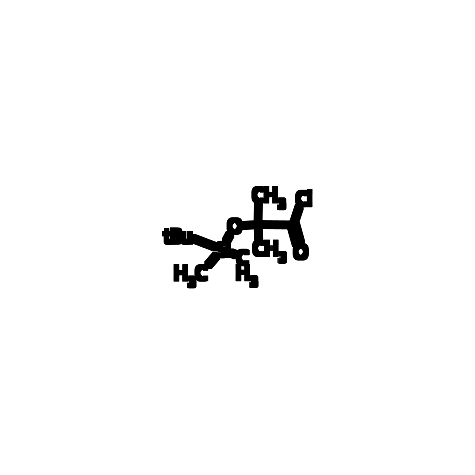 CC(C)(O[Si](C)(C)C(C)(C)C)C(=O)Cl